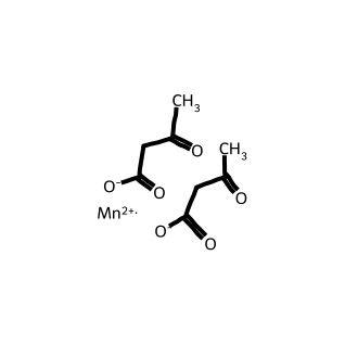 CC(=O)CC(=O)[O-].CC(=O)CC(=O)[O-].[Mn+2]